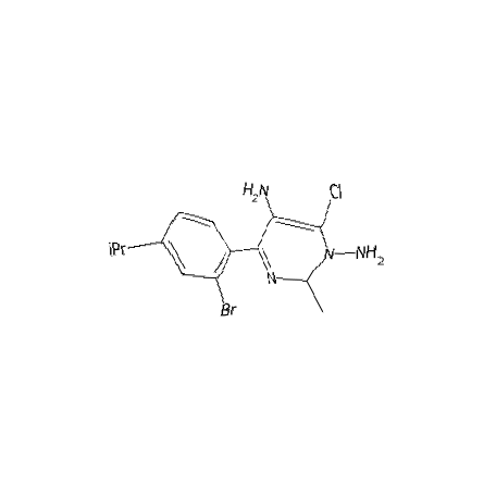 CC(C)c1ccc(C2=NC(C)N(N)C(Cl)=C2N)c(Br)c1